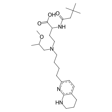 COC(C)CN(CCCCc1ccc2c(n1)NCCC2)CCC(NC(=O)CC(C)(C)C)C(=O)O